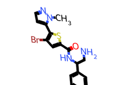 Cn1nccc1-c1sc(C(=O)NC(CN)c2ccccc2)cc1Br